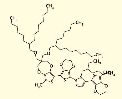 CCCCCCCCC(CCCCCC)COCC1(COCC(CCCCCC)CCCCCCCC)COc2c(C)sc(-c3sc(-c4ccc(-c5sc(C)c6c5OCCO6)n4CC(CC)CCCC)c4c3OCCO4)c2OC1